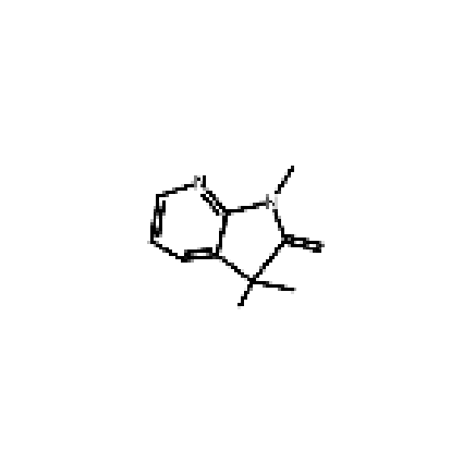 C=C1N(C)c2ncccc2C1(C)C